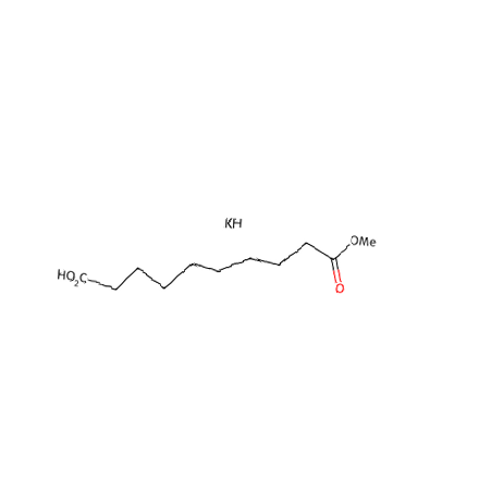 COC(=O)CCCCCCCCC(=O)O.[KH]